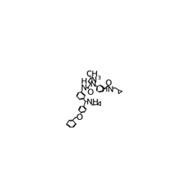 Cc1cc(C(=O)Nc2cccc(C(NCC3CC3)c3ccc(OCc4ccccc4)cc3)c2)n(-c2cccc(C(=O)NCC3CC3)c2)n1